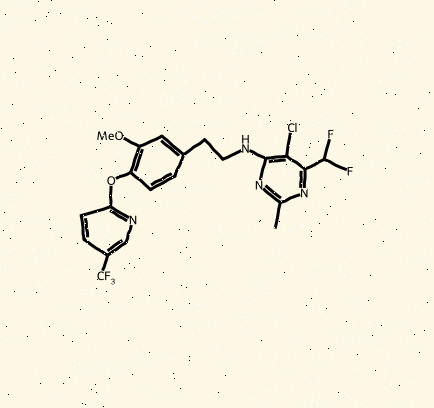 COc1cc(CCNc2nc(C)nc(C(F)F)c2Cl)ccc1Oc1ccc(C(F)(F)F)cn1